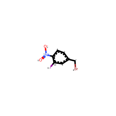 O=[N+]([O-])c1ccc(CBr)cc1I